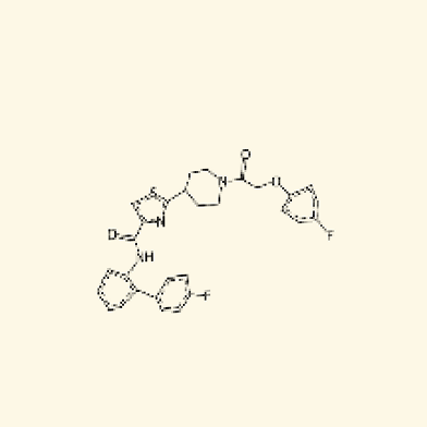 O=C(Nc1ccccc1-c1ccc(F)cc1)c1csc(C2CCN(C(=O)COc3ccc(F)cc3)CC2)n1